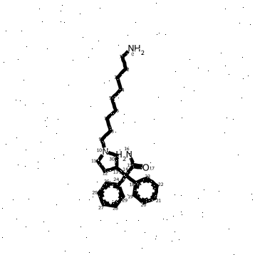 NCCCCCCCCCN1CCC(C(C(N)=O)(c2ccccc2)c2ccccc2)C1